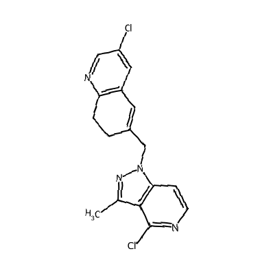 Cc1nn(CC2=Cc3cc(Cl)cnc3CC2)c2ccnc(Cl)c12